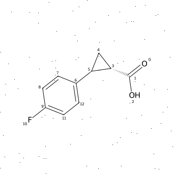 O=C(O)[C@H]1CC1c1ccc(F)cc1